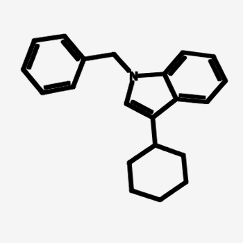 c1ccc(Cn2cc(C3CCCCC3)c3ccccc32)cc1